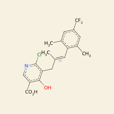 C/C(=C\c1c(C)cc(C(F)(F)F)cc1C)Cc1c(Cl)ncc(C(=O)O)c1O